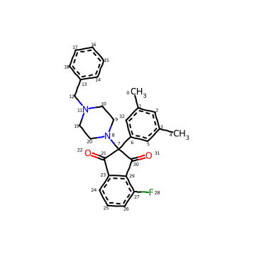 Cc1cc(C)cc(C2(N3CCN(Cc4ccccc4)CC3)C(=O)c3cccc(F)c3C2=O)c1